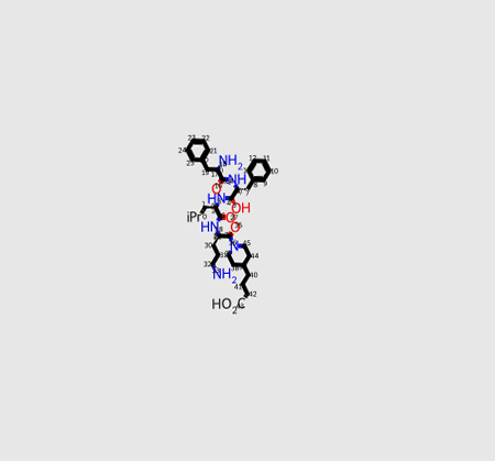 CC(C)C[C@@H](NC(O)[C@@H](Cc1ccccc1)NC(=O)[C@H](N)Cc1ccccc1)C(=O)N[C@H](CCCN)C(=O)N1CCC(CCCC(=O)O)CC1